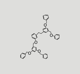 c1ccc(COc2cc(CCc3cccc(OCc4cc(OCc5ccccc5)cc(OCc5ccccc5)c4)c3)cc(COc3ccccc3)c2)cc1